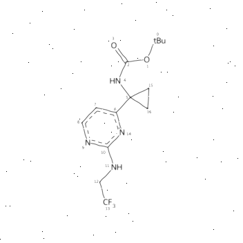 CC(C)(C)OC(=O)NC1(c2ccnc(NCC(F)(F)F)n2)CC1